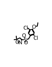 CCOc1cc(Cl)c(CS(=O)(=O)C2=NOC(C)(C)C2)cc1Cl